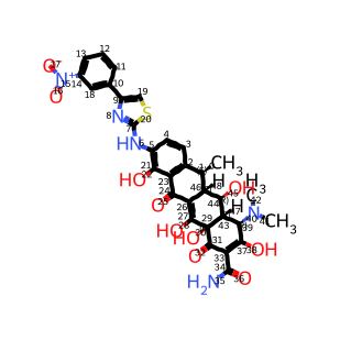 C[C@@H]1c2ccc(Nc3nc(-c4cccc([N+](=O)[O-])c4)cs3)c(O)c2C(=O)C2=C(O)[C@@]3(O)C(=O)C(C(N)=O)=C(O)[C@H](N(C)C)[C@H]3[C@H](O)[C@H]21